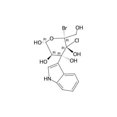 OC[C@]1(Br)O[C@@H](O)[C@H](O)[C@](O)(c2c[nH]c3ccccc23)[C@@]1(O)Cl